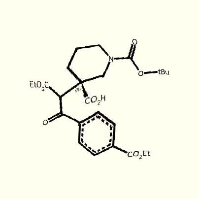 CCOC(=O)c1ccc(C(=O)C(C(=O)OCC)[C@]2(C(=O)O)CCCN(C(=O)OC(C)(C)C)C2)cc1